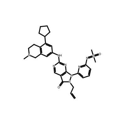 C=CCn1c(=O)c2cnc(Nc3cc4c(c(C5CCCC5)c3)CCN(C)C4)nc2n1-c1cccc(N=S(C)(C)=O)n1